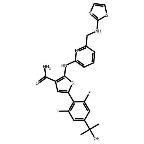 CC(C)(O)c1cc(F)c(-c2cc(C(N)=O)c(Nc3cccc(CNc4nccs4)n3)s2)c(F)c1